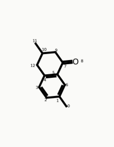 Cc1ccc2c(c1)C(=O)CC(C)C2